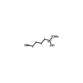 CO[C@@H](O)CCCCN=O